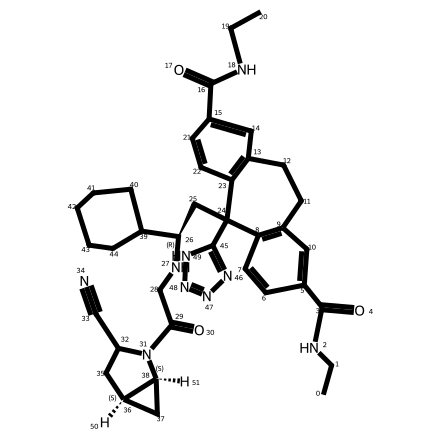 CCNC(=O)c1ccc2c(c1)CCc1cc(C(=O)NCC)ccc1C2(C[C@@H](NCC(=O)N1C(C#N)C[C@@H]2C[C@@H]21)C1CCCCC1)c1nnn[nH]1